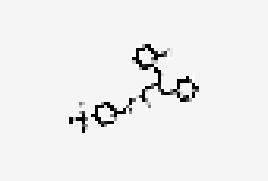 FC(COc1ccc(C(F)(F)F)cc1)CN(Cc1cccnc1)Cc1ccccc1Cl